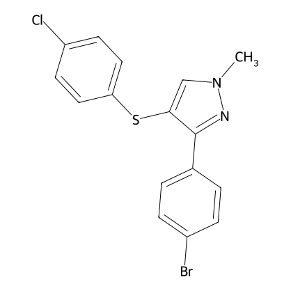 Cn1cc(Sc2ccc(Cl)cc2)c(-c2ccc(Br)cc2)n1